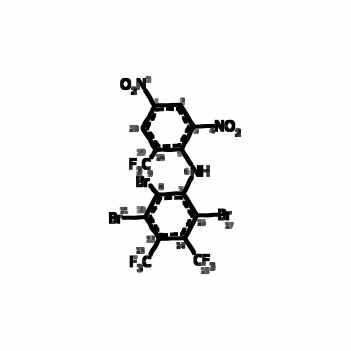 O=[N+]([O-])c1cc([N+](=O)[O-])c(Nc2c(Br)c(Br)c(C(F)(F)F)c(C(F)(F)F)c2Br)c(C(F)(F)F)c1